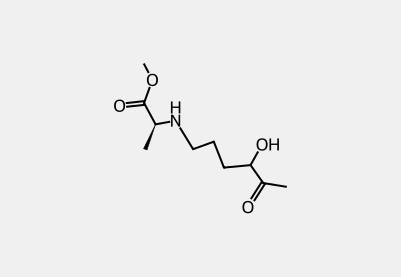 COC(=O)[C@H](C)NCCCC(O)C(C)=O